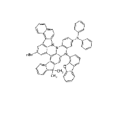 CCCCc1cc2c3c(c1)c1c4ccccc4ccc1n3B1c3ccc(N(c4ccccc4)c4ccccc4)cc3N(c3cccc4c3oc3ccccc34)c3cc4c(c-2c31)-c1ccccc1C4(C)C